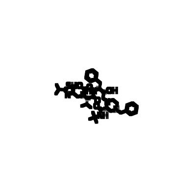 CC(C)c1nc(CN(C(=O)O)[C@H](C(=O)N[C@@H](Cc2ccccc2)[C@@H](O)CN2CCN(Cc3ccccc3)C[C@H]2C(=O)NC(C)(C)C)C(C)C)cs1